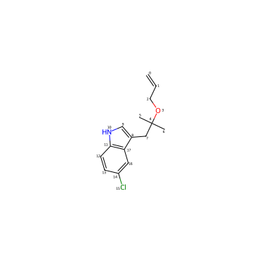 C=CCOC(C)(C)Cc1c[nH]c2ccc(Cl)cc12